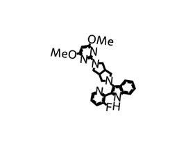 COc1cc(OC)nc(N2CC3CN(c4c(-c5ncccc5F)[nH]c5ccccc45)CC3C2)n1